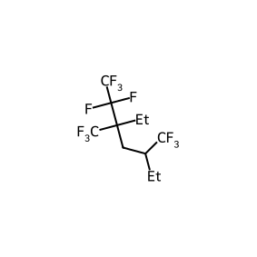 CCC(CC(CC)(C(F)(F)F)C(F)(F)C(F)(F)F)C(F)(F)F